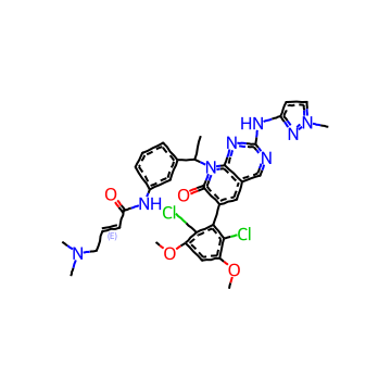 COc1cc(OC)c(Cl)c(-c2cc3cnc(Nc4ccn(C)n4)nc3n(C(C)c3cccc(NC(=O)/C=C/CN(C)C)c3)c2=O)c1Cl